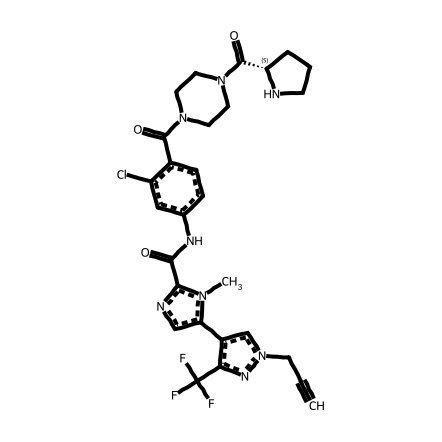 C#CCn1cc(-c2cnc(C(=O)Nc3ccc(C(=O)N4CCN(C(=O)[C@@H]5CCCN5)CC4)c(Cl)c3)n2C)c(C(F)(F)F)n1